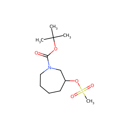 CC(C)(C)OC(=O)N1CCCCC(OS(C)(=O)=O)C1